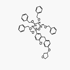 CO[C@@]1(c2ccc(Cl)c(Cc3ccc(OC4CCOC4)cc3)c2)O[C@H](COCc2ccccc2)[C@@H](OCc2ccccc2)[C@H](OCc2ccccc2)[C@H]1OCc1ccccc1